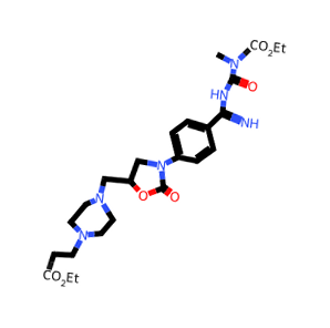 CCOC(=O)CCN1CCN(CC2CN(c3ccc(C(=N)NC(=O)N(C)C(=O)OCC)cc3)C(=O)O2)CC1